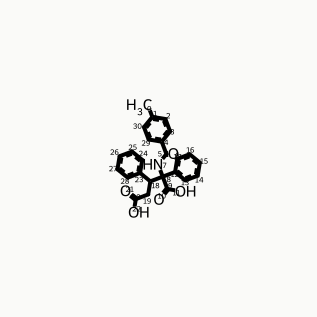 Cc1ccc(C(=O)NC(C(=O)O)(c2ccccc2)C(CC(=O)O)c2ccccc2)cc1